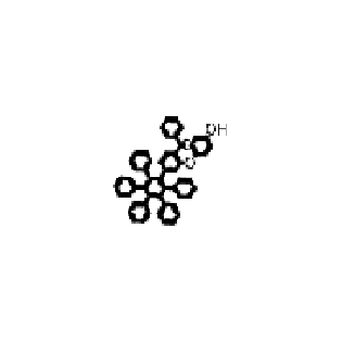 O=C(c1ccccc1)c1ccc(-c2c(-c3ccccc3)c(-c3ccccc3)c(-c3ccccc3)c(-c3ccccc3)c2-c2ccccc2)cc1Oc1ccc(O)cc1